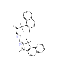 C=C(/C=C/C=C1/N(C)c2ccc3ccccc3c2C1(C)C)C(C)(C)c1c(C)ccc2ccccc12